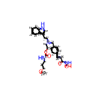 CC(C)OCCCNC(=O)OCCN(CCc1c[nH]c2ccccc12)Cc1ccc(/C=C/C(=O)NO)cc1